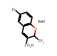 CCc1ccc2c(c1)C=C(C(=O)O)C(C(F)(F)F)O2.[NaH]